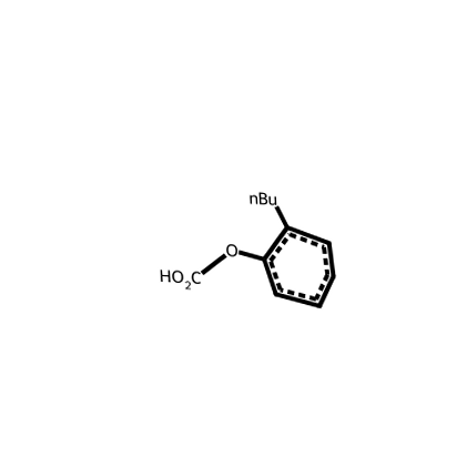 CCCCc1ccccc1OC(=O)O